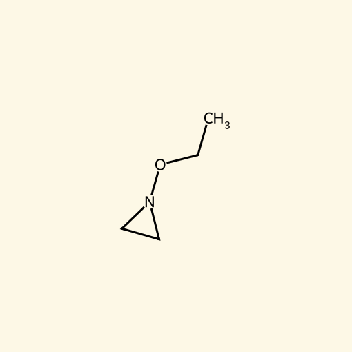 CCON1CC1